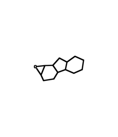 C1CCC2C(C1)CC1C2CCC2OC21